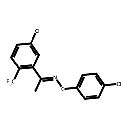 C/C(=N\Oc1ccc(Cl)cc1)c1cc(Cl)ccc1C(F)(F)F